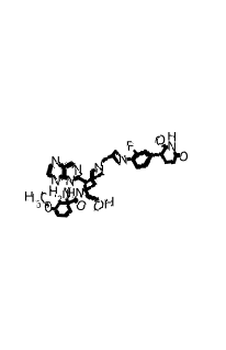 COC1=CC=CC(N)(C(=O)NC2(CCO)CC3(CN(CC4CN(c5ccc(C6CCC(=O)NC6=O)cc5F)C4)C3)C2c2ncc3nccnc3n2)C1